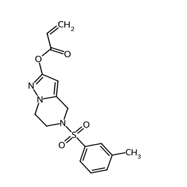 C=CC(=O)Oc1cc2n(n1)CCN(S(=O)(=O)c1cccc(C)c1)C2